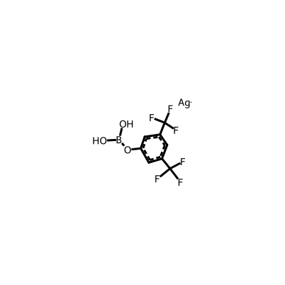 OB(O)Oc1cc(C(F)(F)F)cc(C(F)(F)F)c1.[Ag]